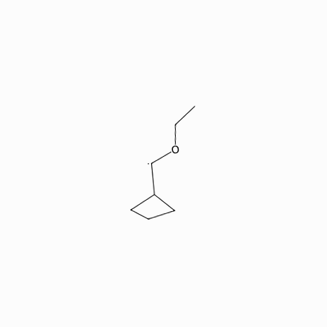 CCO[CH]C1CCC1